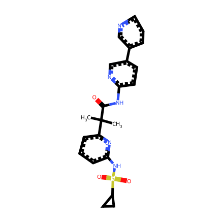 CC(C)(C(=O)Nc1ccc(-c2cccnc2)cn1)c1cccc(NS(=O)(=O)C2CC2)n1